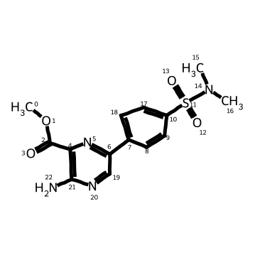 COC(=O)c1nc(-c2ccc(S(=O)(=O)N(C)C)cc2)cnc1N